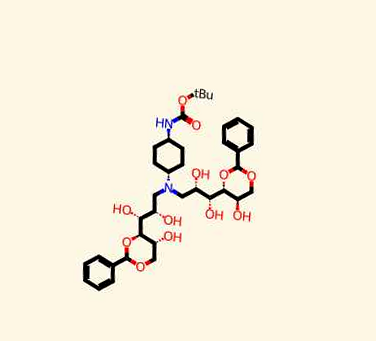 CC(C)(C)OC(=O)N[C@H]1CC[C@H](N(C[C@H](O)[C@@H](O)[C@@H]2OC(c3ccccc3)OC[C@H]2O)C[C@H](O)[C@@H](O)[C@@H]2OC(c3ccccc3)OC[C@H]2O)CC1